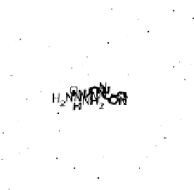 NC(=O)N/N=C(\N)c1ccc2nnn(Cc3ccc4ncccc4c3)c2n1